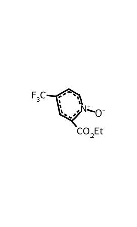 CCOC(=O)c1cc(C(F)(F)F)cc[n+]1[O-]